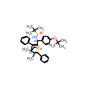 CC1=C(c2ccccc2)[P@]2C[C@@]1(C)C(c1ccccc1)=C2[C@H](N[S+]([O-])C(C)(C)C)c1ccc(OC(C)(C)C)cc1